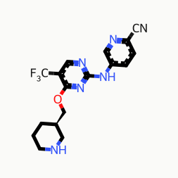 N#Cc1ccc(Nc2ncc(C(F)(F)F)c(OC[C@@H]3CCCNC3)n2)cn1